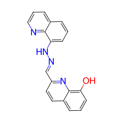 Oc1cccc2ccc(C=NNc3cccc4cccnc34)nc12